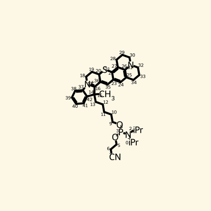 CC(C)N(C(C)C)P(OCCC#N)OCCCCCC1(C)C2=[N+](CCC3Sc4c(cc5c6c4CCCN6CCC5)C=C23)c2ccccc21